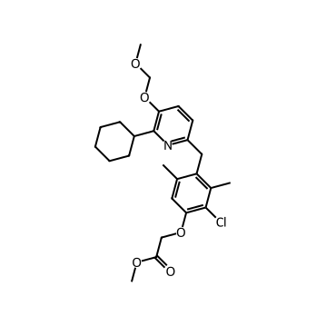 COCOc1ccc(Cc2c(C)cc(OCC(=O)OC)c(Cl)c2C)nc1C1CCCCC1